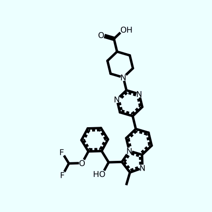 Cc1nc2ccc(-c3cnc(N4CCC(C(=O)O)CC4)nc3)cn2c1C(O)c1ccccc1OC(F)F